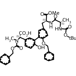 COC(=O)[C@H](Cc1ccc(OCc2ccccc2)c(-c2cc([C@@H](C(=O)O)N(C)C(=O)OCc3ccccc3)ccc2O)c1)NC(=O)[C@H](C)NC(=O)OC(C)(C)C